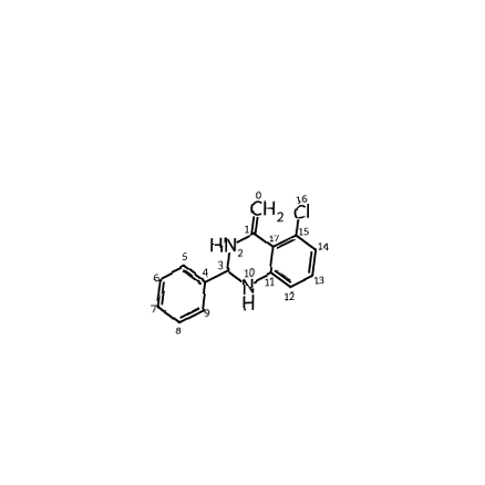 C=C1NC(c2ccccc2)Nc2cccc(Cl)c21